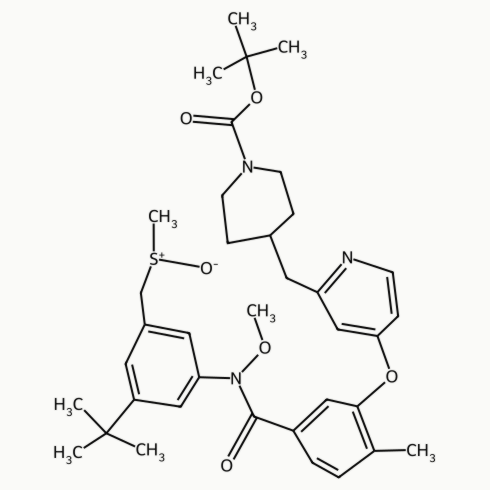 CON(C(=O)c1ccc(C)c(Oc2ccnc(CC3CCN(C(=O)OC(C)(C)C)CC3)c2)c1)c1cc(C[S+](C)[O-])cc(C(C)(C)C)c1